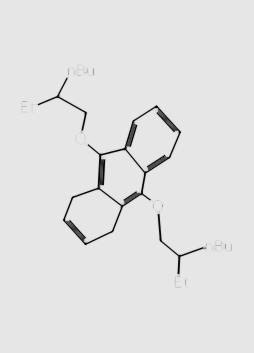 CCCCC(CC)COc1c2c(c(OCC(CC)CCCC)c3ccccc13)CC=CC2